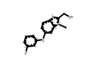 Cn1c(CO)nc2ccc(Oc3cccc(Cl)c3)cc21